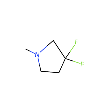 CN1CCC(F)(F)C1